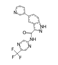 O=C(Nc1cnc(C(F)(F)F)cn1)c1n[nH]c2ccc(-c3cccnc3)cc12